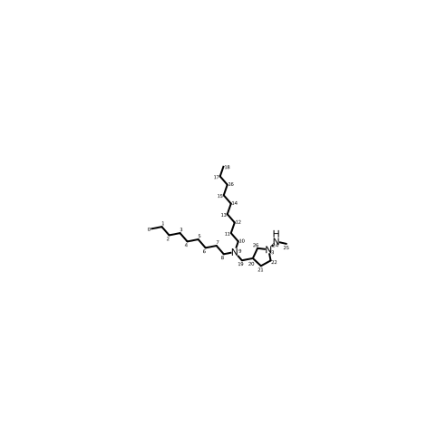 CCCCCCCCCN(CCCCCCCCC)CC1CCN(NC)C1